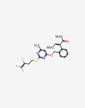 CO/C=C(/C(=O)OC)c1ccccc1COc1cc(C)nc(SCCC(F)=C(F)F)n1